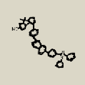 CC1(C)c2cc(C#N)ccc2-c2c(-c3ccc(-c4ccc5ccc(-c6ccc(C7=[N+](c8ccccc8)C(c8ccccc8)=N7)cc6)cc5c4)cc3)cccc21